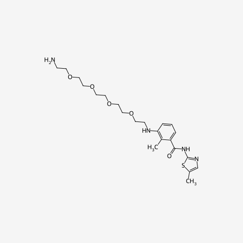 Cc1cnc(NC(=O)c2cccc(NCCOCCOCCOCCOCCN)c2C)s1